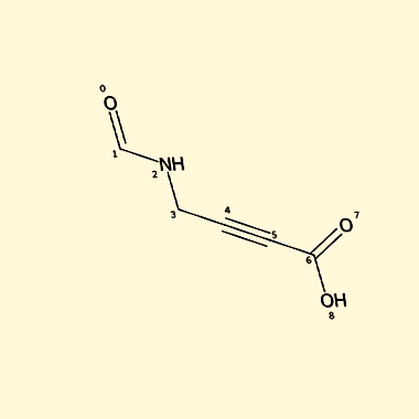 O=CNCC#CC(=O)O